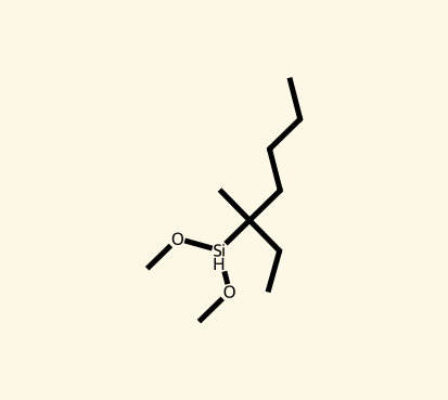 CCCCC(C)(CC)[SiH](OC)OC